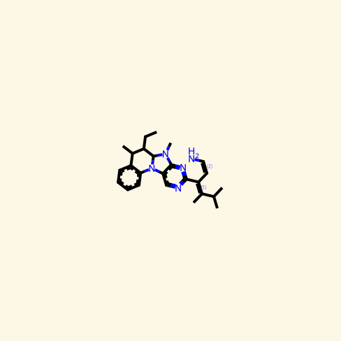 CCC1C(C)c2ccccc2N2c3cnc(C(/C=C\N)=C(\C)C(C)C)nc3N(C)C12